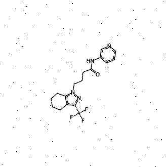 O=C(CCCn1nc(C(F)(F)F)c2c1CCCC2)Nc1cccnc1